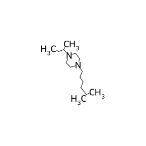 CCC(C)N1CCN(CCCCC(C)C)CC1